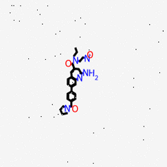 CCCN(CCN=O)C(=O)C1=Cc2ccc(-c3ccc(C(=O)N4CCCC4)cc3)cc2N=C(N)C1